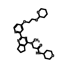 CN(CC(=O)NC1CCOCC1)c1nc(-c2cc(OCCOC3CCCCO3)ccn2)nc2c1CCC2